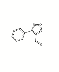 O=Cc1conc1-c1ccccc1